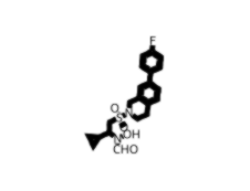 O=CN(O)C(CS(=O)(=O)N1CCc2ccc(-c3ccc(F)cc3)cc2C1)C1CC1